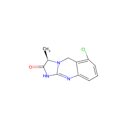 C[C@@H]1C(=O)NC2=Nc3cccc(Cl)c3CN21